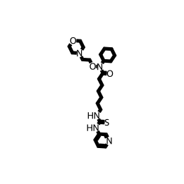 O=C(CCCCCCNC(=S)Nc1cccnc1)N(OCCN1CCOCC1)C1CCCCC1